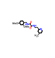 COc1ccc(CNC(=O)C(=O)NCCc2cc(C)ccn2)c(OC)c1